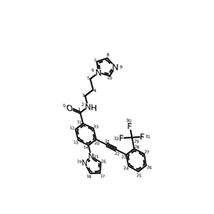 O=C(NCCCn1ccnc1)c1ccc(-n2cccn2)c(C#Cc2ccccc2C(F)(F)F)c1